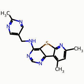 Cc1cc(C)c2c(n1)sc1c(NCc3cnc(C)nc3)ncnc12